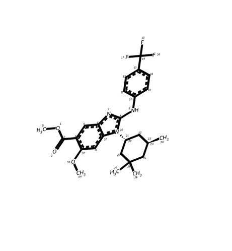 COC(=O)c1cc2nc(Nc3ccc(C(F)(F)F)cc3)n([C@@H]3C[C@@H](C)CC(C)(C)C3)c2cc1OC